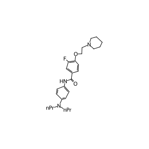 CCCN(CCC)c1ccc(NC(=O)c2ccc(OCCN3CCCCC3)c(F)c2)cc1